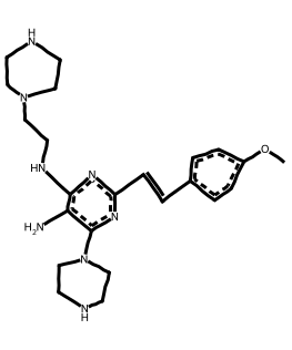 COc1ccc(C=Cc2nc(NCCN3CCNCC3)c(N)c(N3CCNCC3)n2)cc1